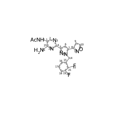 CC(=O)Nc1cnc(-c2cc(-c3ccon3)n(Cc3cccc(F)c3F)n2)nc1N